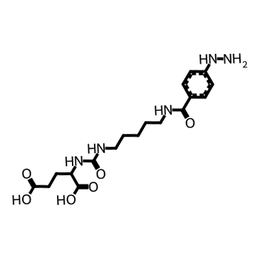 NNc1ccc(C(=O)NCCCCCNC(=O)NC(CCC(=O)O)C(=O)O)cc1